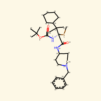 CS[C@@](NC(=O)OC(C)(C)C)(C(=O)NC1CCN(Cc2ccccc2)CC1)C(C)(C)C1CCCCC1